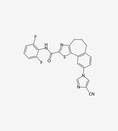 N#Cc1cn(-c2ccc3c(c2)-c2sc(C(=O)Nc4c(F)cccc4F)nc2CCC3)cn1